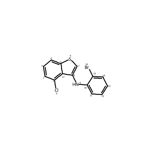 Clc1cccc2scc(Nc3ccccc3Br)c12